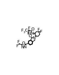 O=C1c2cc(-c3nnc(C(F)F)o3)ccc2CN1[C@@H]1CCC(F)(F)C[C@@H]1NC(=O)C(F)(F)C(F)(F)F